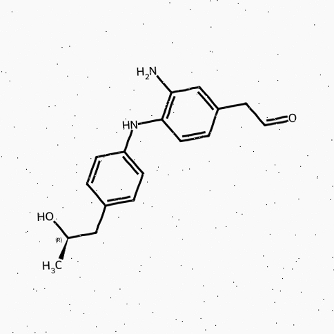 C[C@@H](O)Cc1ccc(Nc2ccc(CC=O)cc2N)cc1